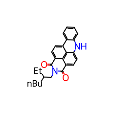 CCCCC(CC)Cn1c(=O)c2ccc3[nH]c4ccccc4c4ccc(c1=O)c2c34